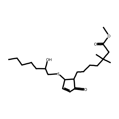 CCCCCC(O)CSC1C=CC(=O)C1CCCCC(C)(C)CC(=O)OC